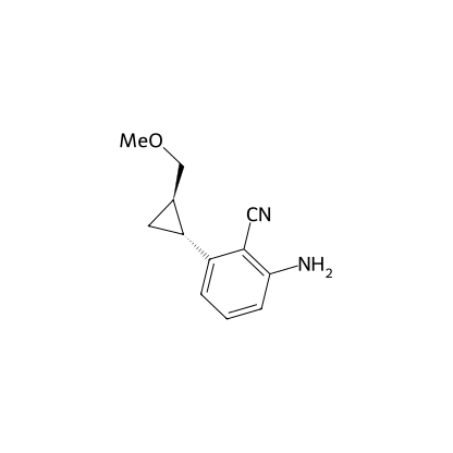 COC[C@@H]1C[C@H]1c1cccc(N)c1C#N